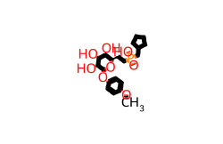 COc1ccc(OC2O[C@H](CCP(=O)(O)CC3CCCC3)[C@@H](O)[C@H](O)[C@@H]2O)cc1